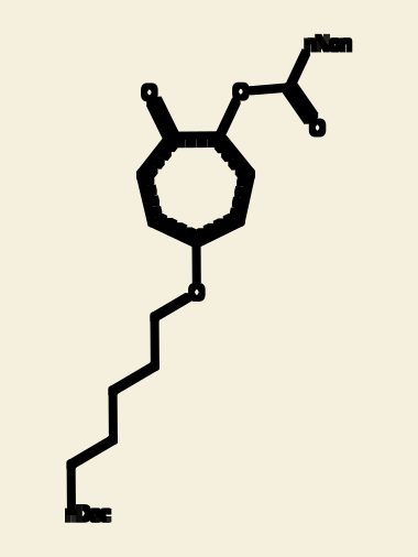 CCCCCCCCCCCCCCCOc1ccc(OC(=O)CCCCCCCCC)c(=O)cc1